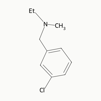 CCN(C)Cc1cccc(Cl)c1